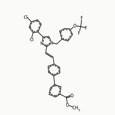 COC(=O)c1cccc(-c2ccc(/C=C/c3nc(-c4ccc(Cl)cc4Cl)cn3Cc3ccc(OC(F)(F)F)cc3)cc2)c1